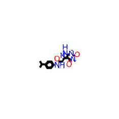 CC(C)c1ccc(NC(=O)Cc2n[nH]c3c2c(=O)n(C)c(=O)n3C)cc1